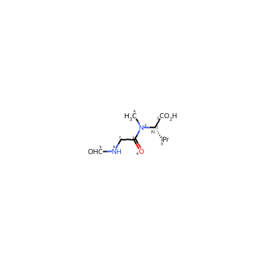 CC(C)[C@@H](C(=O)O)N(C)C(=O)CNC=O